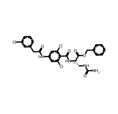 NC(=O)NC[C@H](NC(=O)c1c(Cl)cc(NC(=O)Cc2cccc(Cl)c2)cc1Cl)C(=O)OCc1ccccc1